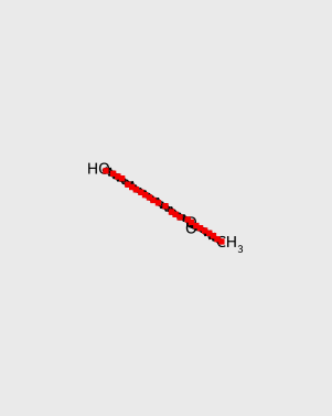 CCCCC=CCCCCCCCC(=O)OCCCCCCCCCCCCCCCCCCCCCCCCCCCCCCCCCCCCCCCO